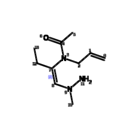 C=CCN(C(C)=O)/C(=C\N(C)N)CC